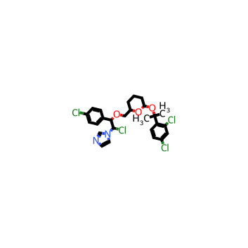 CC(C)(OC1CCCC(COC(c2ccc(Cl)cc2)C(Cl)n2ccnc2)O1)c1ccc(Cl)cc1Cl